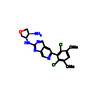 COc1cc(OC)c(Cl)c(-c2cc3cnc(N[C@@H]4COC[C@@H]4N)nc3cn2)c1Cl